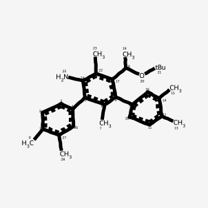 Cc1ccc(-c2c(C)c(-c3ccc(C)c(C)c3)c(C(C)OC(C)(C)C)c(C)c2N)cc1C